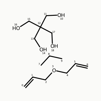 C=CCOCC=C.CCC.OCC(CO)(CO)CO